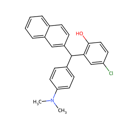 CN(C)c1ccc(C(c2ccc3ccccc3c2)c2cc(Cl)ccc2O)cc1